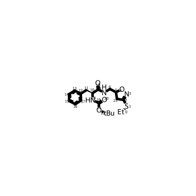 CCSC1=NOC(CNC(=O)[C@H](Cc2ccccc2)NC(=O)OC(C)(C)C)C1